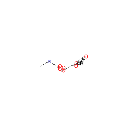 CCCCCCCC/C=C\CCCCCCCC(=O)OCC(C)OC(=O)CCCCCCCCC(=O)O[C@H]1CCC2[C@@H]3CCC4=CC(=O)CC[C@]4(C)C3CC[C@@]21C